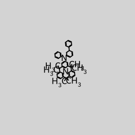 CC1(C)c2cccc3c2N2c4c1cccc4C(C)(C)c1cc(N(C4=CC=CC(c5ccccc5)C4)c4ccccc4)cc(c12)C3(C)C